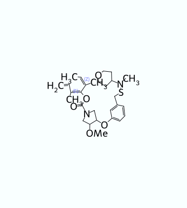 C=C/C(C)=C(OC(=O)N1CC(OC)C(Oc2cccc(CSN(C)C3CCOCC3)c2)C1)\C(C)=C/C